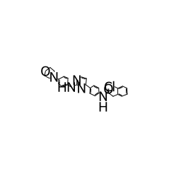 O=C(Cc1ccccc1Cl)Nc1ccc(-c2ccnc(Nc3ccc(N4CCOCC4)cc3)n2)cc1